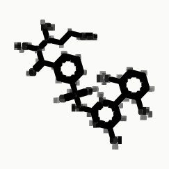 CCCCN(CCOC)N(C)C(=O)c1cccc(S(=O)(=O)Nc2nc(O)cc(-c3c(C)cccc3C)n2)c1